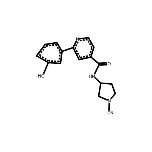 N#Cc1cccc(-c2cc(C(=O)NC3CCN(C#N)C3)ccn2)c1